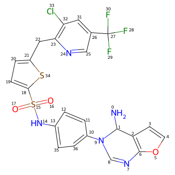 NC1c2ccoc2N=CN1c1ccc(NS(=O)(=O)c2ccc(Cc3ncc(C(F)(F)F)cc3Cl)s2)cc1